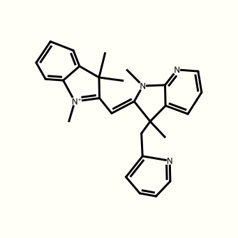 CN1C(=CC2=[N+](C)c3ccccc3C2(C)C)C(C)(Cc2ccccn2)c2cccnc21